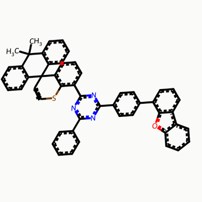 CC1(C)c2ccccc2C2(c3ccccc3Sc3c(-c4nc(-c5ccccc5)nc(-c5ccc(-c6cccc7c6oc6ccccc67)cc5)n4)cccc32)c2ccccc21